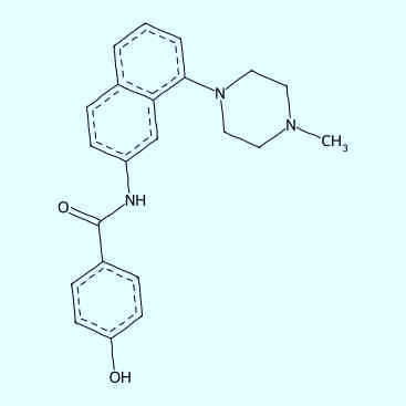 CN1CCN(c2cccc3ccc(NC(=O)c4ccc(O)cc4)cc23)CC1